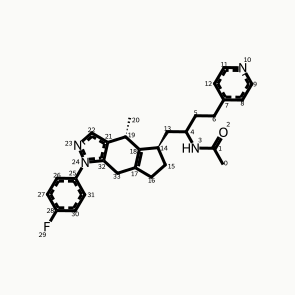 CC(=O)NC(CCc1ccncc1)C[C@H]1CCC2=C1[C@@H](C)c1cnn(-c3ccc(F)cc3)c1C2